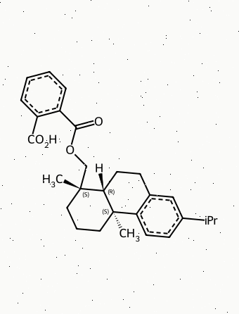 CC(C)c1ccc2c(c1)CC[C@H]1[C@@](C)(COC(=O)c3ccccc3C(=O)O)CCC[C@]21C